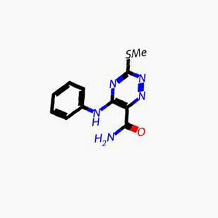 CSc1nnc(C(N)=O)c(Nc2ccccc2)n1